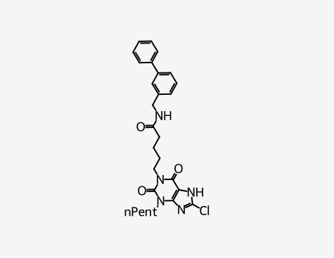 CCCCCn1c(=O)n(CCCCC(=O)NCc2cccc(-c3ccccc3)c2)c(=O)c2[nH]c(Cl)nc21